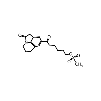 CS(=O)(=O)OCCCCCC(=O)c1cc2c3c(c1)CC(=O)N3CCC2